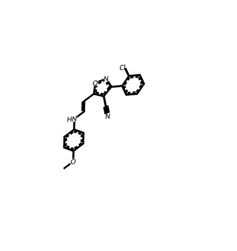 COc1ccc(N/C=C/c2onc(-c3ccccc3Cl)c2C#N)cc1